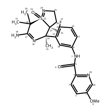 COc1ccc(C(=O)Nc2ccc(F)c([C@@]3(C)N=C(N)C(C)(C)[S@@]4(=O)=NCC[C@@H]34)c2)nc1